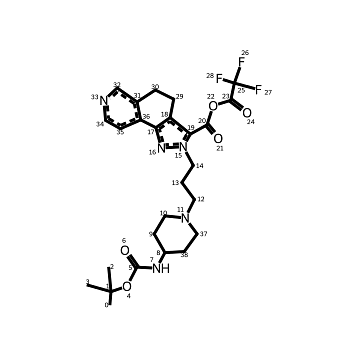 CC(C)(C)OC(=O)NC1CCN(CCCn2nc3c(c2C(=O)OC(=O)C(F)(F)F)CCc2cnccc2-3)CC1